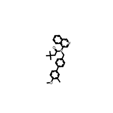 COc1ccc(-c2ccc(CN(C(=O)CC(C)(C)C)c3cncc4ccccc34)cc2)cc1C